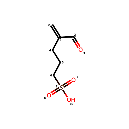 C=C([C]=O)CCCS(=O)(=O)O